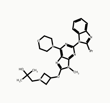 CC(C)c1nc2ccccc2n1-c1nc(N2CCOCC2)c2nc(OC3CN(CC(C)(C)O)C3)n(C)c2n1